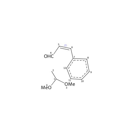 COC(C)OC.O=C/C=C\c1ccccc1